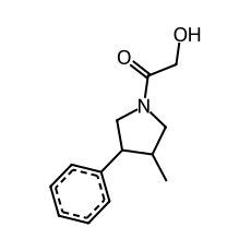 CC1CN(C(=O)CO)CC1c1ccccc1